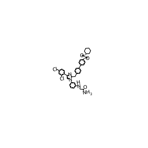 NC(=O)CNc1cccc(-n2cc(-c3ccc(Cl)cc3Cl)nc2Cc2ccc(-c3ccc(S(=O)(=O)C4CCCCC4)cc3)cc2)c1